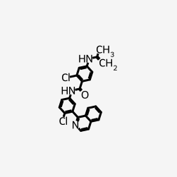 C=C(C)Nc1ccc(C(=O)Nc2ccc(Cl)c(-c3nccc4ccccc34)c2)c(Cl)c1